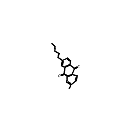 CCCCCc1ccc2c(c1)C(=O)c1cc(C)ccc1C2=O